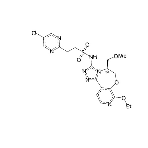 CCOc1nccc2c1OC[C@H](COC)n1c(NS(=O)(=O)CCc3ncc(Cl)cn3)nnc1-2